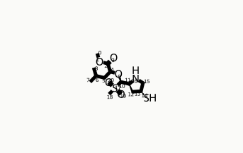 COC(=O)C(CC(C)C)O[C@@H]([C@@H]1C[C@@H](S)CN1)S(C)(=O)=O